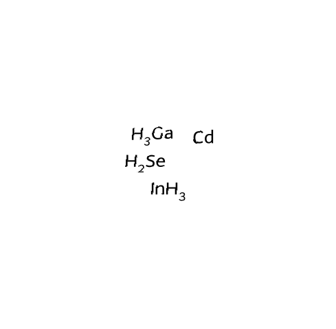 [Cd].[GaH3].[InH3].[SeH2]